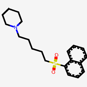 O=S(=O)(CCCCCN1CC[CH]CC1)c1cccc2ccccc12